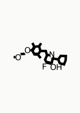 COCCOC1=C(C)C(C)C(CC2CC(F)=C(O)C(C3CCCCC3)=N2)C(C)=C1